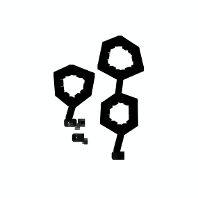 C.O=C(O)c1ccccc1.Oc1ccc(-c2ccccc2)cc1